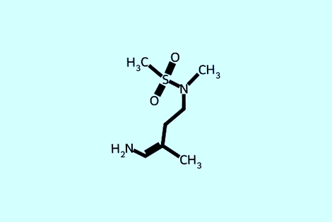 C/C(=C/N)CCN(C)S(C)(=O)=O